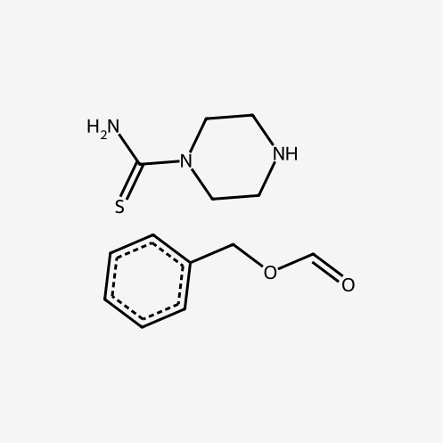 NC(=S)N1CCNCC1.O=COCc1ccccc1